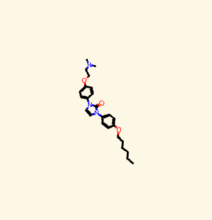 CCCCCCOc1ccc(-n2ccn(-c3ccc(OCCN(C)C)cc3)c2=O)cc1